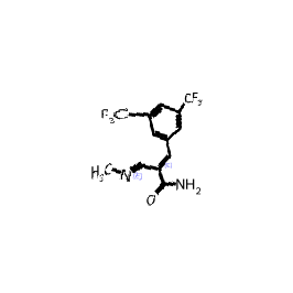 C/N=C/C(=C\c1cc(C(F)(F)F)cc(C(F)(F)F)c1)C(N)=O